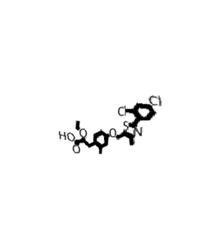 CCOC(Cc1ccc(OCc2sc(-c3ccc(Cl)cc3Cl)nc2C)cc1C)C(=O)O